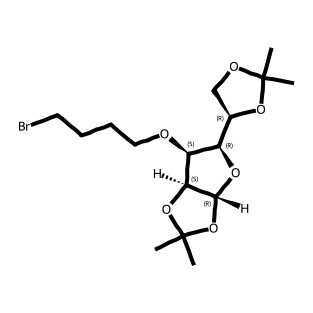 CC1(C)O[C@H]2O[C@H]([C@H]3COC(C)(C)O3)[C@H](OCCCCBr)[C@@H]2O1